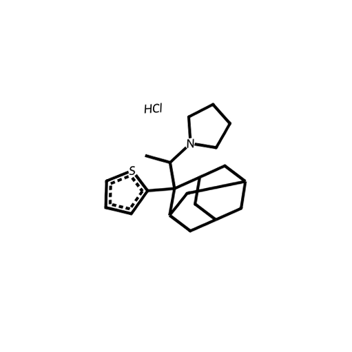 CC(N1CCCC1)C1(c2cccs2)C2CC3CC(C2)CC1C3.Cl